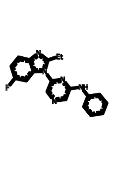 CCc1nc2ccc(F)cc2n1-c1cncc(Nc2ccccc2)n1